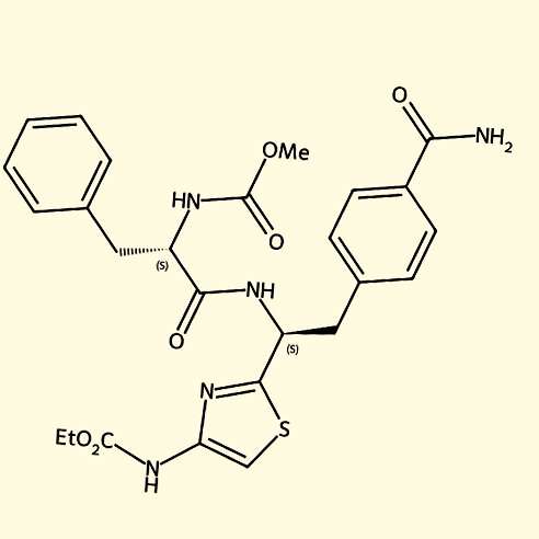 CCOC(=O)Nc1csc([C@H](Cc2ccc(C(N)=O)cc2)NC(=O)[C@H](Cc2ccccc2)NC(=O)OC)n1